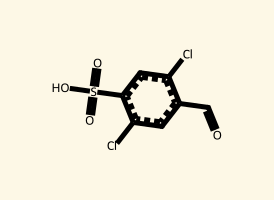 O=Cc1cc(Cl)c(S(=O)(=O)O)cc1Cl